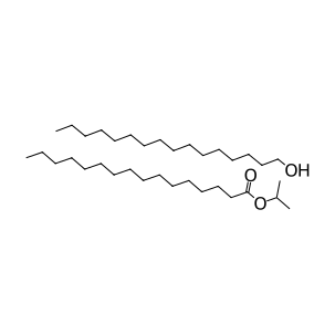 CCCCCCCCCCCCCCCC(=O)OC(C)C.CCCCCCCCCCCCCCCCO